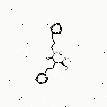 NC(=O)C(CCc1ccccc1)C(=O)N(O)CCCc1ccccc1